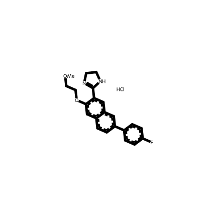 COCCOc1cc2ccc(-c3ccc(F)cc3)cc2cc1C1=NCCN1.Cl